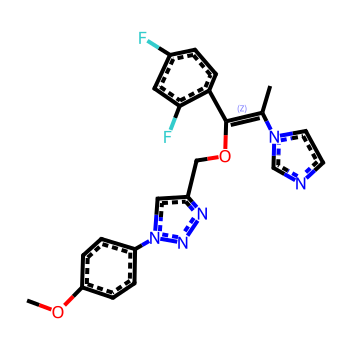 COc1ccc(-n2cc(CO/C(=C(/C)n3ccnc3)c3ccc(F)cc3F)nn2)cc1